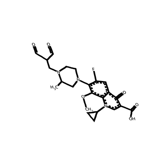 COc1c(N2CCN(CC(C=O)C=O)C(C)C2)c(F)cc2c(=O)c(C(=O)O)cn(C3CC3)c12